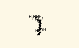 C#CCNC(=N)CCCCc1csc(N=C(N)N)n1